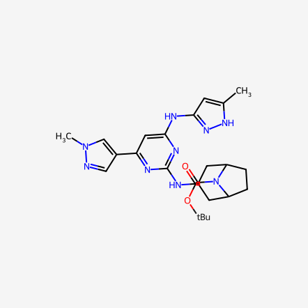 Cc1cc(Nc2cc(-c3cnn(C)c3)nc(NC3CC4CCC(C3)N4C(=O)OC(C)(C)C)n2)n[nH]1